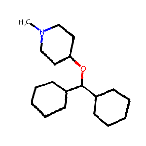 CN1CCC(OC(C2CCCCC2)C2CCCCC2)CC1